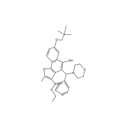 CCOC(=O)c1c(C)oc2c1c(C(c1ccncc1)N1CCOCC1)c(O)c1cc(OCC(C)(C)C)ccc12